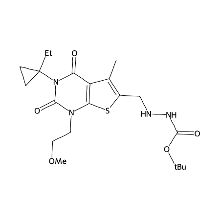 CCC1(n2c(=O)c3c(C)c(CNNC(=O)OC(C)(C)C)sc3n(CCOC)c2=O)CC1